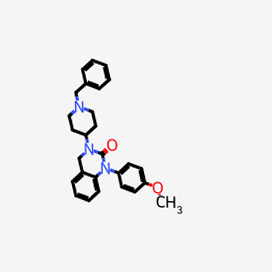 COc1ccc(N2C(=O)N(C3CCN(Cc4ccccc4)CC3)Cc3ccccc32)cc1